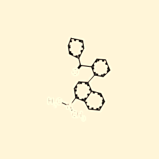 CN(C)c1ccc(-c2ccccc2C(=O)c2ccccc2)c2ccccc12